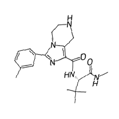 CNC(=O)[C@@H](NC(=O)c1nc(-c2cccc(C)c2)n2c1CNCC2)C(C)(C)C